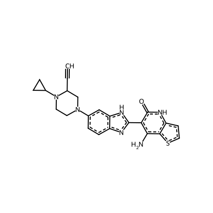 C#CC1CN(c2ccc3nc(-c4c(N)c5sccc5[nH]c4=O)[nH]c3c2)CCN1C1CC1